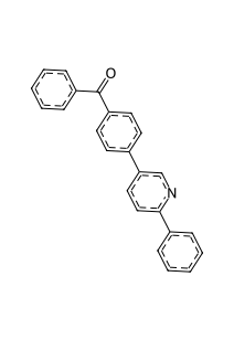 O=C(c1ccccc1)c1ccc(-c2ccc(-c3ccccc3)nc2)cc1